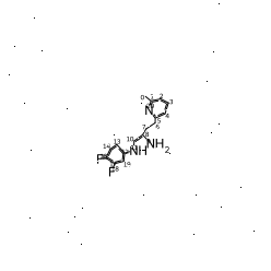 Cc1cccc(CC/C(N)=C/Nc2ccc(F)c(F)c2)n1